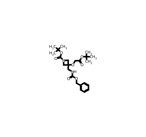 CC(C)(C)OC(=O)COC1(CNC(=O)OCc2ccccc2)CN(C(=O)OC(C)(C)C)C1